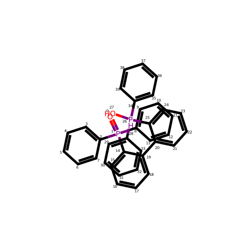 O=P(c1ccccc1)(c1ccccc1)c1ccccc1-c1ccccc1[PH](O)(c1ccccc1)c1ccccc1